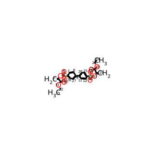 C=C(OS(=O)(=O)c1ccc(-c2ccc(S(=O)(=O)OC(=C)C(=O)OCC)cc2)cc1)C(=O)OCC